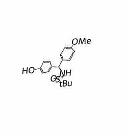 COc1ccc([C@@H](N[S+]([O-])C(C)(C)C)c2ccc(O)cc2)cc1